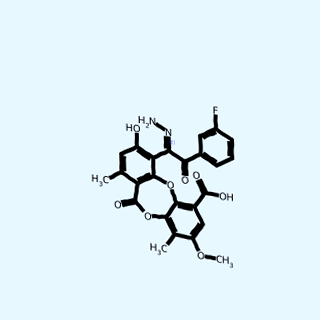 COc1cc(C(=O)O)c2c(c1C)OC(=O)c1c(C)cc(O)c(/C(=N\N)C(=O)c3cccc(F)c3)c1O2